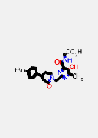 Cc1nc(Cn2ccc(-c3ccc(C(C)(C)C)cc3)cc2=O)nc(C(=O)NCC(=O)O)c1O